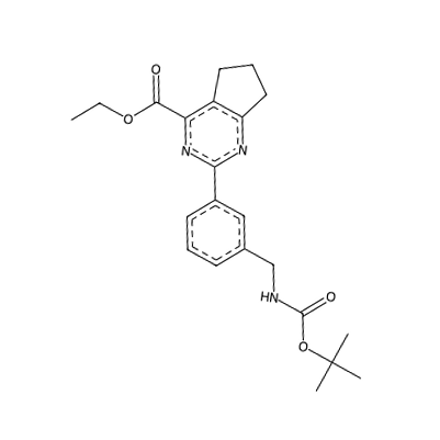 CCOC(=O)c1nc(-c2cccc(CNC(=O)OC(C)(C)C)c2)nc2c1CCC2